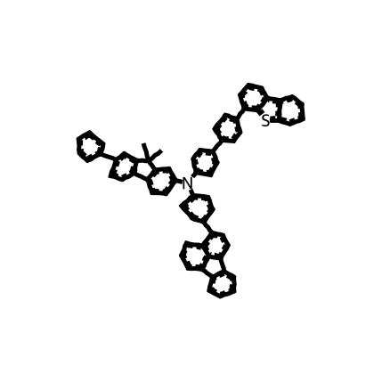 CC1(C)c2cc(-c3ccccc3)ccc2-c2ccc(N(c3ccc(-c4ccc(-c5cccc6c5sc5ccccc56)cc4)cc3)c3ccc(-c4ccc5c6c(cccc46)-c4ccccc4-5)cc3)cc21